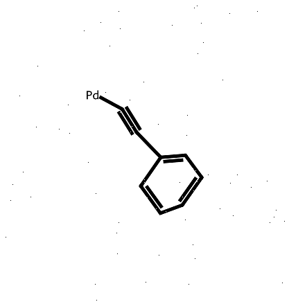 [Pd][C]#Cc1ccccc1